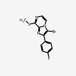 CSc1nccn2c(Br)c(-c3ccc(F)cc3)nc12